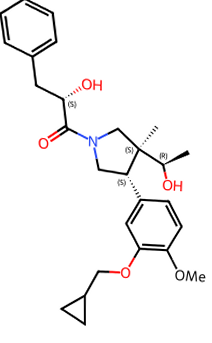 COc1ccc([C@@H]2CN(C(=O)[C@@H](O)Cc3ccccc3)C[C@@]2(C)[C@@H](C)O)cc1OCC1CC1